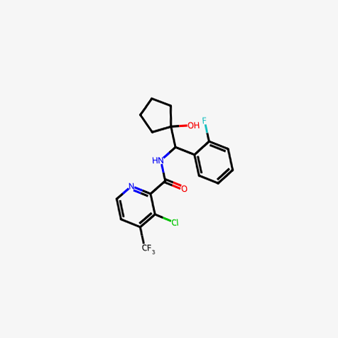 O=C(NC(c1ccccc1F)C1(O)CCCC1)c1nccc(C(F)(F)F)c1Cl